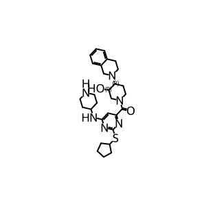 O=C(c1cc(NC2CCNCC2)nc(SC2CCCC2)n1)N1CC[C@@H](N2CCc3ccccc3C2)[C@H](O)C1